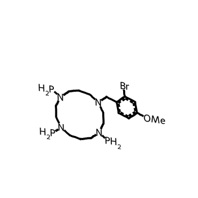 COc1ccc(CN2CCCN(P)CCN(P)CCCN(P)CC2)c(Br)c1